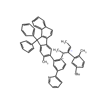 C/C=C(/c1cc(C(C)(C)C)ccc1C)N(C)[n+]1ccc(-c2ccccn2)cc1-c1cc2c(cc1C)C(c1ccccc1)(c1ccccc1)c1c-2ccc2ccccc12